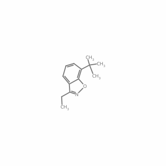 CCc1noc2c(C(C)(C)C)cccc12